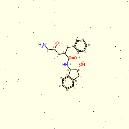 NC[C@@H](O)C[C@@H](Cc1ccccc1)C(=O)NC1c2ccccc2C[C@H]1O